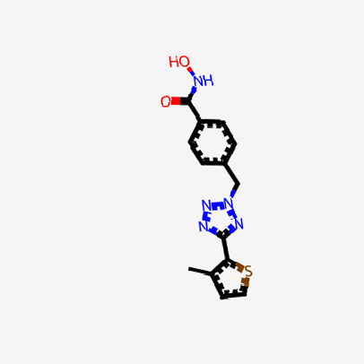 Cc1ccsc1-c1nnn(Cc2ccc(C(=O)NO)cc2)n1